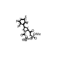 COP(=O)(CC(=O)C1CC(c2c(F)c(F)cc(F)c2F)CN1C(=O)OC(C)(C)C)OC